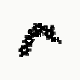 CN1CCN(C2CCN(C(=O)Nc3cc(Oc4ccc(N)cc4F)ncn3)CC2)CC1